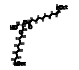 CCCCCCCC/C=C\CCCCCCCC(=O)O[C@@H](CO)COCCCCCCCCCCCCCCCCCC